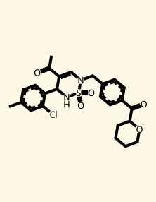 CC(=O)C1=CN(Cc2ccc(C(=O)C3CCCCO3)cc2)S(=O)(=O)NC1c1ccc(C)cc1Cl